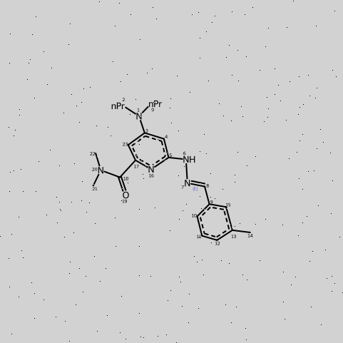 CCCN(CCC)c1cc(N/N=C/c2cccc(C)c2)nc(C(=O)N(C)C)c1